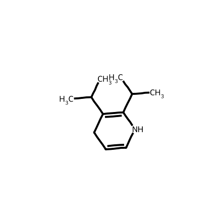 CC(C)C1=C(C(C)C)NC=CC1